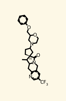 CC1C2Cc3ncc(C(F)(F)F)cc3CN2C(=O)[C@]12CCC(N1CCOC(COc3ccccc3)C1)C2